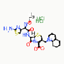 CO/N=C(\C(=O)N[C@@H]1C(=O)N2C(C(=O)[O-])=C(C[n+]3cccc4c3CCCC4)CS[C@H]12)c1csc(N)n1.Cl.Cl